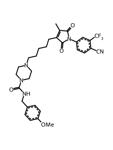 COc1ccc(CNC(=O)N2CCN(CCCCCC3=C(C)C(=O)N(c4ccc(C#N)c(C(F)(F)F)c4)C3=O)CC2)cc1